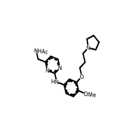 COc1ccc(Nc2nccc(CNC(C)=O)n2)cc1OCCCN1CCCC1